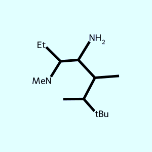 CCC(NC)C(N)C(C)C(C)C(C)(C)C